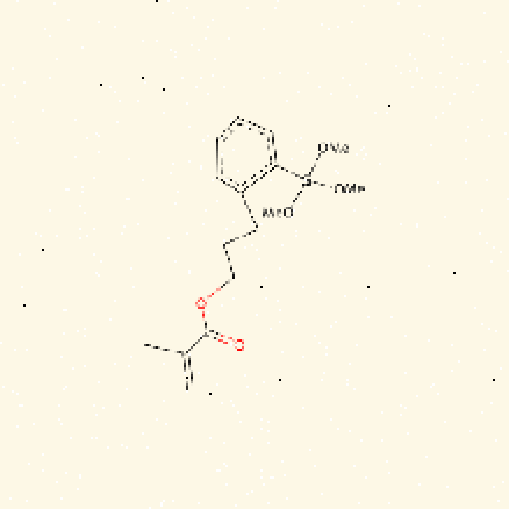 C=C(C)C(=O)OCCCc1ccccc1[Si](OC)(OC)OC